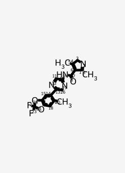 CC1=NCC(C)=C1C(=O)Nc1cnc(-c2cc3c(cc2C)OC(F)(F)O3)cn1